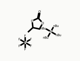 CC1COC(=O)O1.CCCC[N+](CCCC)(CCCC)CCCC.F[P-](F)(F)(F)(F)F